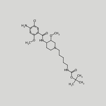 COc1cc(N)c(Cl)cc1C(=O)NC1CCN(CCCCCNC(=O)OC(C)(C)C)CC1OC